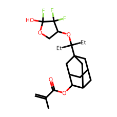 C=C(C)C(=O)OC1C2CC3CC1CC(C(CC)(CC)OC1COC(O)(F)C1(F)F)(C3)C2